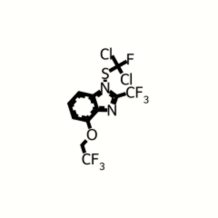 FC(F)(F)COc1cccc2c1nc(C(F)(F)F)n2SC(F)(Cl)Cl